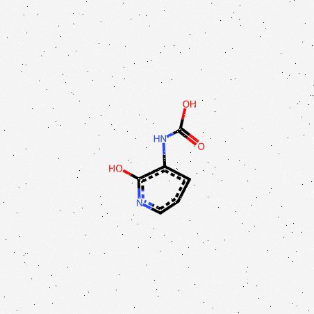 O=C(O)Nc1cccnc1O